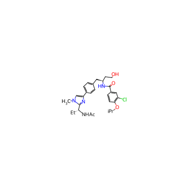 CC[C@@H](NC(C)=O)c1nc(-c2ccc(C[C@@H](CCO)NC(=O)c3ccc(OC(C)C)c(Cl)c3)cc2)cn1C